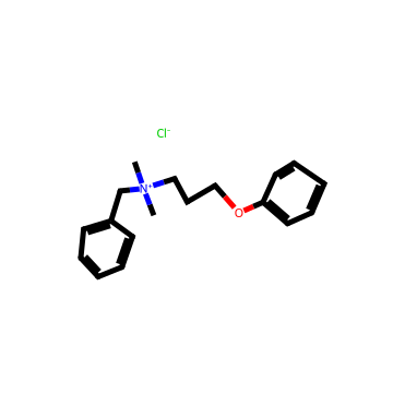 C[N+](C)(CCCOc1ccccc1)Cc1ccccc1.[Cl-]